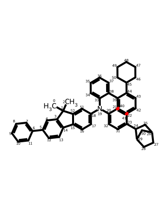 CC1(C)c2cc(-c3ccccc3)ccc2-c2ccc(N(c3ccc(C4CC5CCC4C5)cc3)c3ccccc3-c3ccccc3C3CCCCC3)cc21